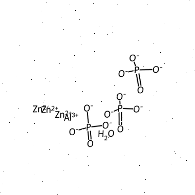 O.O=P([O-])([O-])[O-].O=P([O-])([O-])[O-].O=P([O-])([O-])[O-].[Al+3].[Zn+2].[Zn+2].[Zn+2]